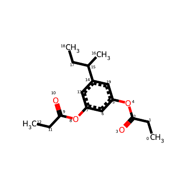 CCC(=O)Oc1cc(OC(=O)CC)cc(C(C)CC)c1